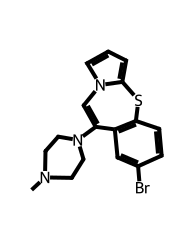 CN1CCN(C2=Cn3cccc3Sc3ccc(Br)cc32)CC1